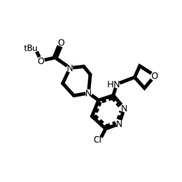 CC(C)(C)OC(=O)N1CCN(c2cc(Cl)nnc2NC2COC2)CC1